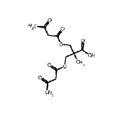 CC(=O)CC(=O)OCC(C)(COC(=O)CC(C)=O)C(=O)O